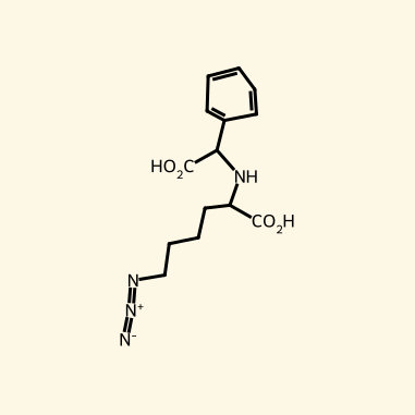 [N-]=[N+]=NCCCCC(NC(C(=O)O)c1ccccc1)C(=O)O